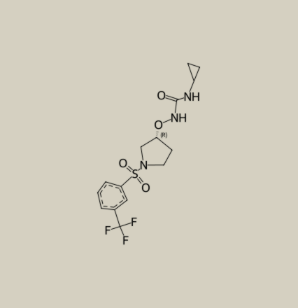 O=C(NO[C@@H]1CCN(S(=O)(=O)c2cccc(C(F)(F)F)c2)C1)NC1CC1